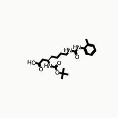 Cc1ccccc1NC(=O)NCCCC[C@H](CC(=O)O)NC(=O)OC(C)(C)C